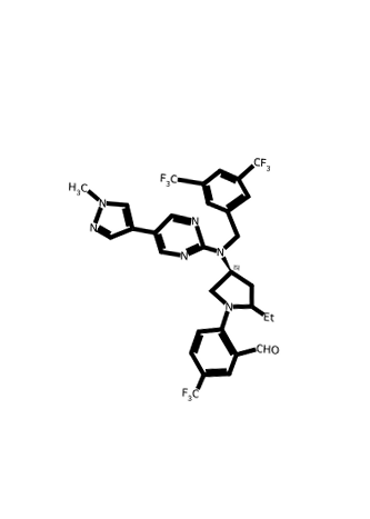 CCC1C[C@H](N(Cc2cc(C(F)(F)F)cc(C(F)(F)F)c2)c2ncc(-c3cnn(C)c3)cn2)CN1c1ccc(C(F)(F)F)cc1C=O